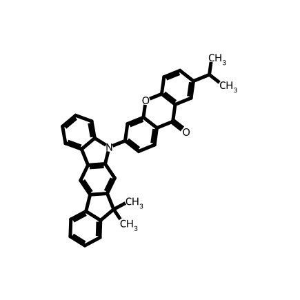 CC(C)c1ccc2oc3cc(-n4c5ccccc5c5cc6c(cc54)C(C)(C)c4ccccc4-6)ccc3c(=O)c2c1